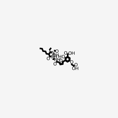 CCCCCC(C(=O)NCNC(=O)c1ccc(-c2cc(OCC(=O)O)cc(C(=O)O)c2O)o1)[C@@H](CC)N(O)C=O